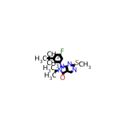 CSc1ncc2c(=O)n(C(C)C)n(-c3cc(F)cc(C(C)(C)C)c3)c2n1